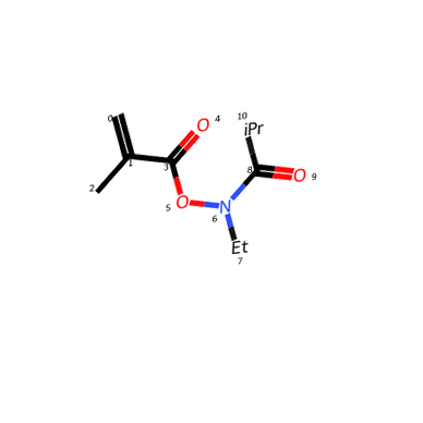 C=C(C)C(=O)ON(CC)C(=O)C(C)C